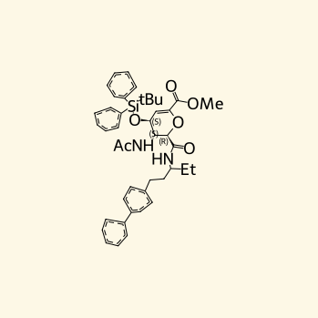 CCC(CCc1ccc(-c2ccccc2)cc1)NC(=O)[C@@H]1OC(C(=O)OC)=C[C@H](O[Si](c2ccccc2)(c2ccccc2)C(C)(C)C)[C@H]1NC(C)=O